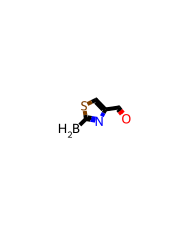 Bc1nc(C=O)cs1